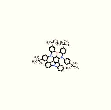 CC(C)(C)c1ccc(N2c3ccc(C(C)(C)C)cc3B3c4cc(C(C)(C)C)ccc4N(c4ccc(C(C)(C)C)cc4)c4c3c2c2c3ccccc3n3c5ccccc5c4c23)cc1